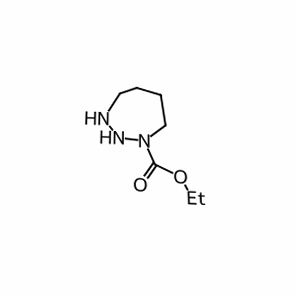 CCOC(=O)N1CCCCNN1